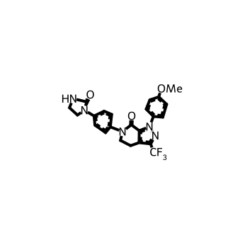 COc1ccc(-n2nc(C(F)(F)F)c3c2C(=O)N(c2ccc(N4CCNC4=O)cc2)CC3)cc1